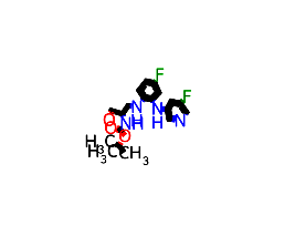 CC(C)(C)OC(=O)NC(C=O)CNc1ccc(F)cc1Nc1cncc(F)c1